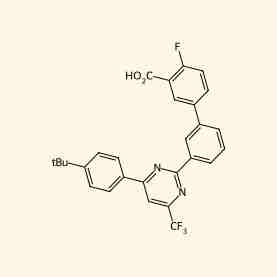 CC(C)(C)c1ccc(-c2cc(C(F)(F)F)nc(-c3cccc(-c4ccc(F)c(C(=O)O)c4)c3)n2)cc1